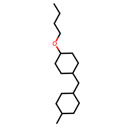 CCCCOC1CCC(CC2CCC(C)CC2)CC1